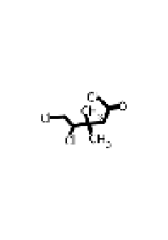 CC(C)(CC(=O)Cl)C(Cl)CCl